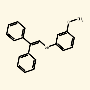 COc1cccc([Se]C=C(c2ccccc2)c2ccccc2)c1